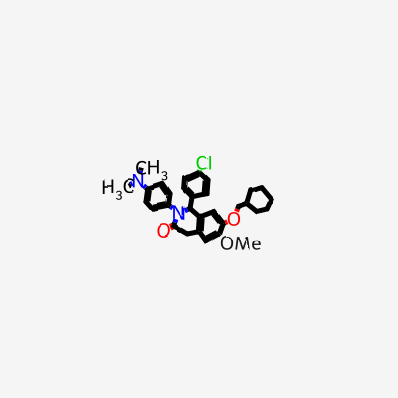 COc1cc2c(cc1OCC1CCCCC1)C(c1ccc(Cl)cc1)N(c1ccc(N(C)C)cc1)C(=O)C2